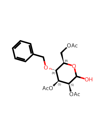 CC(=O)OC[C@H]1OC(O)[C@@H](OC(C)=O)[C@@H](OC(C)=O)[C@@H]1OCc1ccccc1